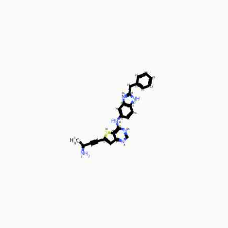 CC(N)C#Cc1cc2ncnc(Nc3ccc4[nH]c(Cc5ccccc5)nc4c3)c2s1